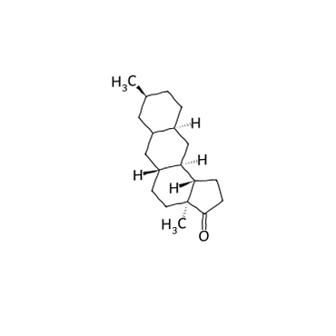 C[C@H]1CC[C@H]2C[C@@H]3[C@H](CC[C@]4(C)C(=O)CC[C@@H]34)CC2C1